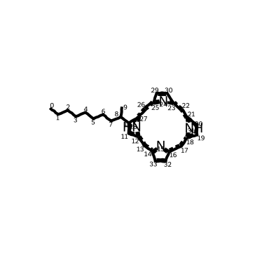 CCCCCCCCC(C)c1cc2cc3nc(cc4ccc(cc5nc(cc1[nH]2)C=C5)[nH]4)C=C3